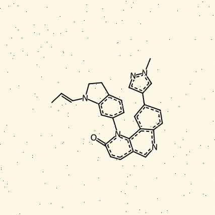 CC=CN1CCc2ccc(-n3c(=O)ccc4cnc5ccc(-c6cnn(C)c6)cc5c43)cc21